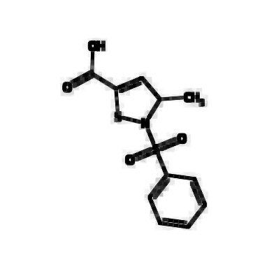 CC1C=C(C(=O)O)SN1S(=O)(=O)c1ccccc1